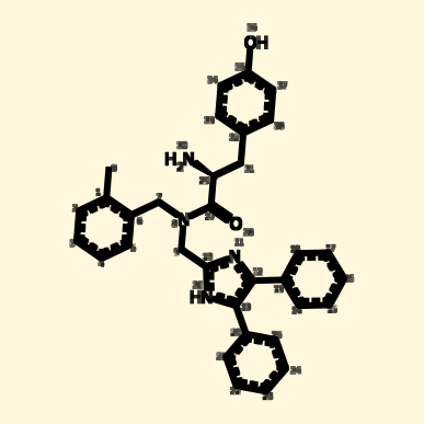 Cc1ccccc1CN(Cc1nc(-c2ccccc2)c(-c2ccccc2)[nH]1)C(=O)[C@@H](N)Cc1ccc(O)cc1